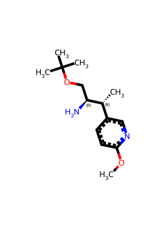 COc1ccc([C@@H](C)[C@@H](N)COC(C)(C)C)cn1